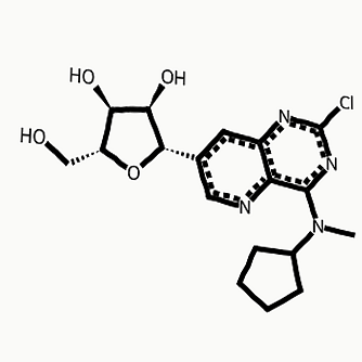 CN(c1nc(Cl)nc2cc([C@@H]3O[C@H](CO)[C@@H](O)[C@H]3O)cnc12)C1CCCC1